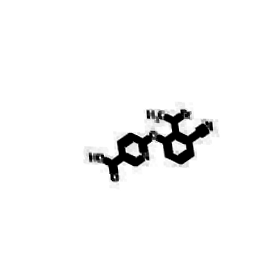 CC(Br)c1c(C#N)cccc1Oc1ccc(C(=O)O)cn1